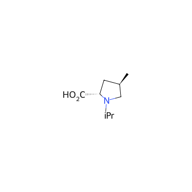 CC(C)N1C[C@H](C)C[C@H]1C(=O)O